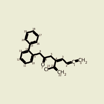 C=C=C/C=C(/CC(=O)Cc1ccccc1-c1ccccc1)C(=C)Cl